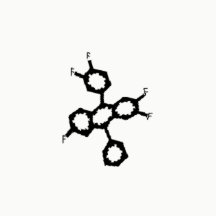 Fc1ccc2c(-c3ccc(F)c(F)c3)c3cc(F)c(F)cc3c(-c3ccccc3)c2c1